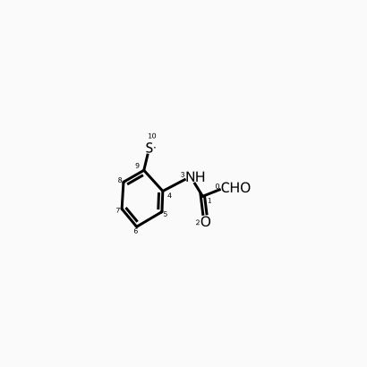 O=CC(=O)Nc1ccccc1[S]